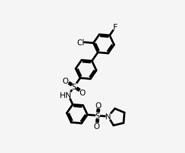 O=S(=O)(Nc1cccc(S(=O)(=O)N2CCCC2)c1)c1ccc(-c2ccc(F)cc2Cl)cc1